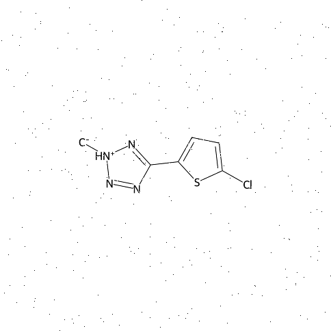 [CH2-][NH+]1N=NC(c2ccc(Cl)s2)=N1